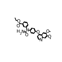 CCOC(=O)c1cccc(N(C(N)=O)c2ccc(Oc3ccnc4cc(OC)c(OC)cc34)cc2)c1